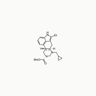 CCc1[nH]c2cccc3c2c1C[C@@H]1[C@@H]3C[C@@H](C(=O)OC)CN1CC1CC1